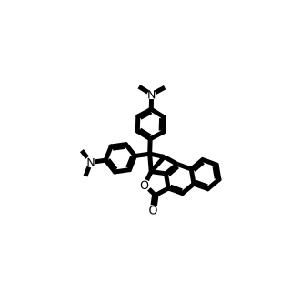 CN(C)c1ccc(C2(c3ccc(N(C)C)cc3)C3c4c5c(cc6ccccc46)C(=O)OC532)cc1